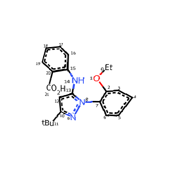 CCOc1ccccc1-n1nc(C(C)(C)C)cc1Nc1ccccc1C(=O)O